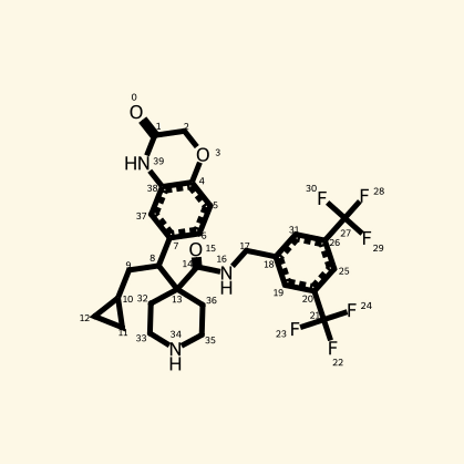 O=C1COc2ccc(C(CC3CC3)C3(C(=O)NCc4cc(C(F)(F)F)cc(C(F)(F)F)c4)CCNCC3)cc2N1